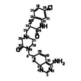 Nc1ncnc2cc(CN3CCN(CC4Sc5ccc(Cl)cc5NC4=O)CC3=O)ccc12